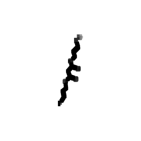 O=C(CC(=O)OCC=CF)OCC=CF.[Li]